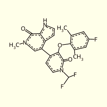 Cc1cc(F)cc(C)c1Oc1c(-c2cn(C)c(=O)c3[nH]ccc23)ccn(C(F)F)c1=O